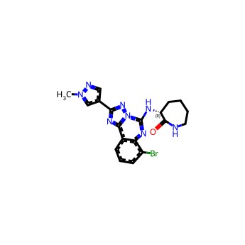 Cn1cc(-c2nc3c4cccc(Br)c4nc(N[C@@H]4CCCCNC4=O)n3n2)cn1